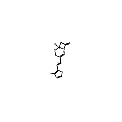 Cc1ncsc1/C=C/C1=CN2C(=O)C[C@H]2SC1